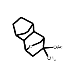 CC(=O)OC1(C)CC2CCC1C1C3CCC(CC3)C21